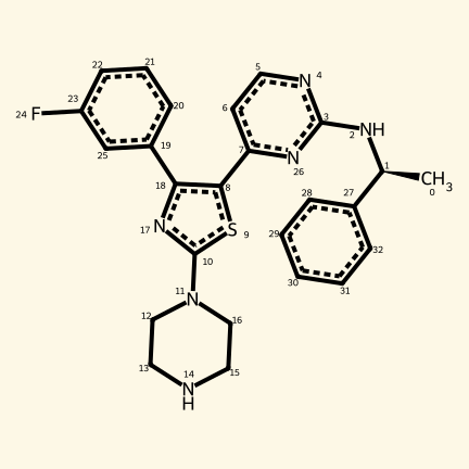 C[C@H](Nc1nccc(-c2sc(N3CCNCC3)nc2-c2cccc(F)c2)n1)c1ccccc1